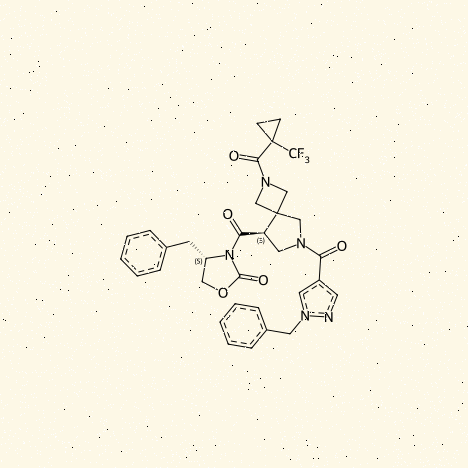 O=C(c1cnn(Cc2ccccc2)c1)N1C[C@@H](C(=O)N2C(=O)OC[C@@H]2Cc2ccccc2)C2(C1)CN(C(=O)C1(C(F)(F)F)CC1)C2